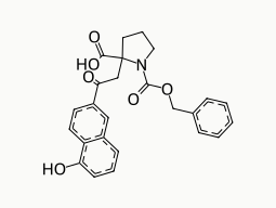 O=C(CC1(C(=O)O)CCCN1C(=O)OCc1ccccc1)c1ccc2c(O)cccc2c1